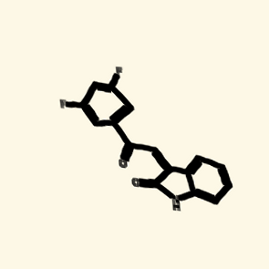 O=C1Nc2ccccc2C1=CC(=O)c1cc(F)cc(F)c1